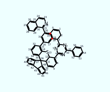 C1=CCC(c2nc(C3=CC=CC4C3Sc3c(-c5cccc(-c6nccc7ccccc67)c5)cccc3C43c4ccccc4-c4ccccc43)nc(-c3ccccc3)n2)C=C1